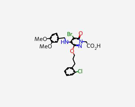 COc1ccc(CNc2c(OCCCc3ccccc3Cl)nn(CC(=O)O)c(=O)c2Br)cc1OC